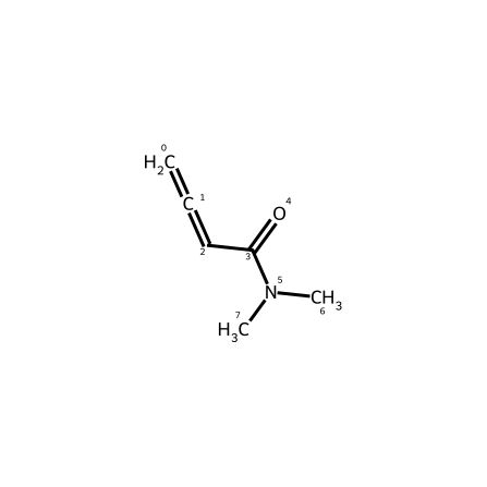 C=C=CC(=O)N(C)C